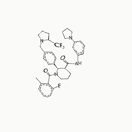 Cc1cccc(F)c1C(=O)N1CCCC(C(=O)Nc2cccc(N3CCCC3)c2)[C@@H]1c1ccc(CN2CCCC2C(F)(F)F)cc1